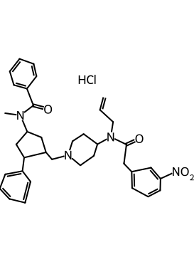 C=CCN(C(=O)Cc1cccc([N+](=O)[O-])c1)C1CCN(CC2CC(N(C)C(=O)c3ccccc3)CC2c2ccccc2)CC1.Cl